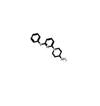 NC1CCN(c2cccc(Sc3ccccc3)n2)CC1